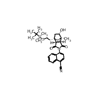 CC(C)(C)[Si](C)(C)OCC[C@]12C[C@H](O)[C@](C)(O1)[C@@H]1C(=O)N(c3ccc(C#N)c4ccccc34)C(=O)[C@@H]12